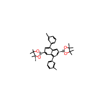 Cc1cccc(-c2cc(B3OC(C)(C)C(C)(C)O3)cc3c(-c4cccc(C)c4)cc(B4OC(C)(C)C(C)(C)O4)cc23)c1